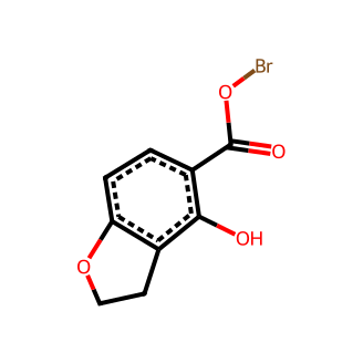 O=C(OBr)c1ccc2c(c1O)CCO2